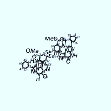 COC(=O)c1cc([Se][Se]c2ccc(Nc3c(-c4ccccc4)nc4[nH]c(=O)c5nc[nH]c5n34)c(C(=O)OC)c2)ccc1Nc1c(-c2ccccc2)nc2[nH]c(=O)c3nc[nH]c3n12